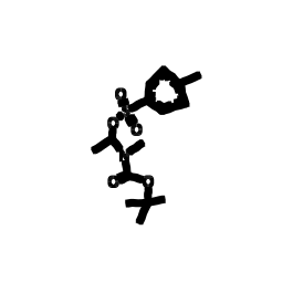 Cc1ccc(S(=O)(=O)OC(C)N(C)C(=O)OC(C)(C)C)cc1